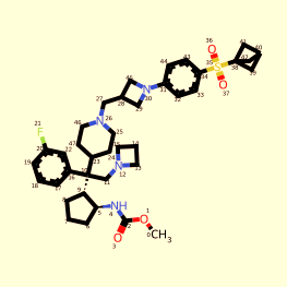 COC(=O)N[C@H]1CCC[C@@H]1C(CN1CCC1)(c1cccc(F)c1)C1CCN(CC2CN(c3ccc(S(=O)(=O)C45CC(C4)C5)cc3)C2)CC1